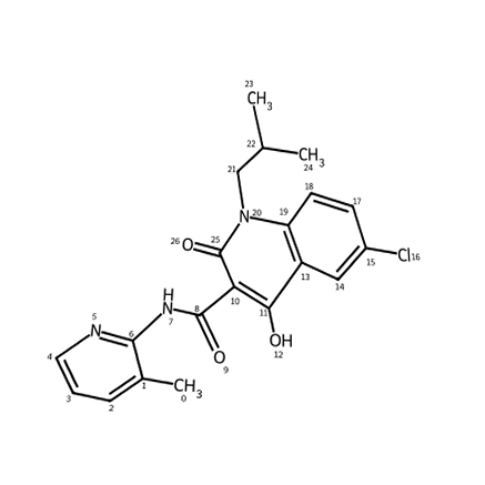 Cc1cccnc1NC(=O)c1c(O)c2cc(Cl)ccc2n(CC(C)C)c1=O